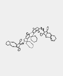 O=c1c(=NC2=Cc3sc4c(c3C23CCCCC3)C2(CCCCC2)c2c-4sc3cc(N=c4c(=O)c5cc6ccccc6cc5c4=O)sc23)c(=O)c2cc3ccccc3cc12